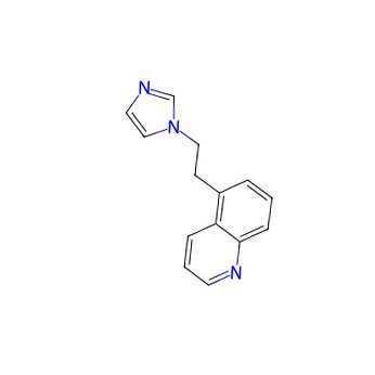 c1cc(CCn2ccnc2)c2cccnc2c1